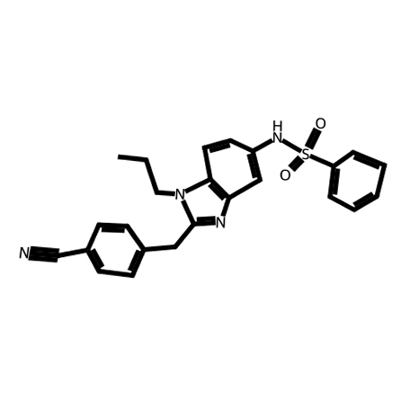 CCCn1c(Cc2ccc(C#N)cc2)nc2cc(NS(=O)(=O)c3ccccc3)ccc21